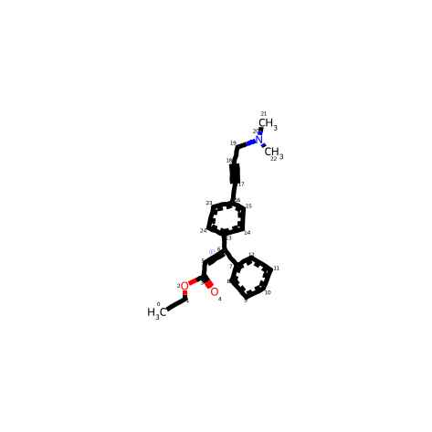 CCOC(=O)/C=C(\c1ccccc1)c1ccc(C#CCN(C)C)cc1